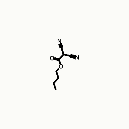 CCCCOC(=O)C(C#N)C#N